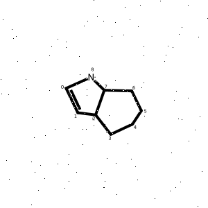 C1=CC2CCCCC2[N]1